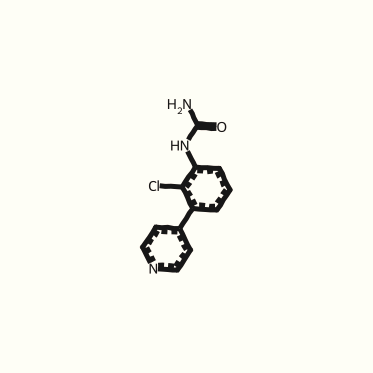 NC(=O)Nc1cccc(-c2ccncc2)c1Cl